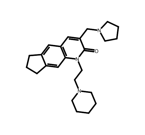 O=c1c(CN2CCCC2)cc2cc3c(cc2n1CCN1CCCCC1)CCC3